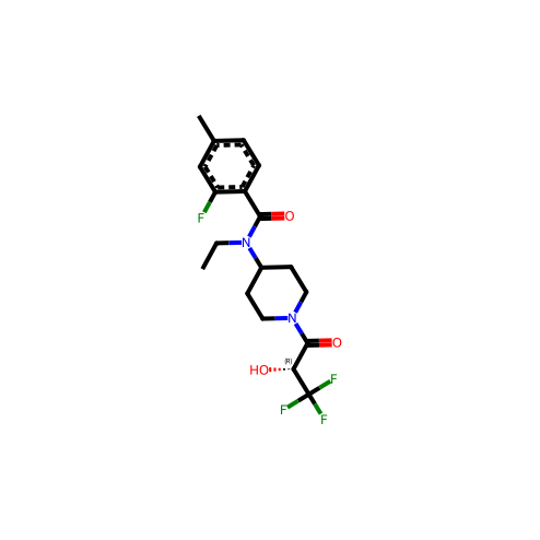 CCN(C(=O)c1ccc(C)cc1F)C1CCN(C(=O)[C@@H](O)C(F)(F)F)CC1